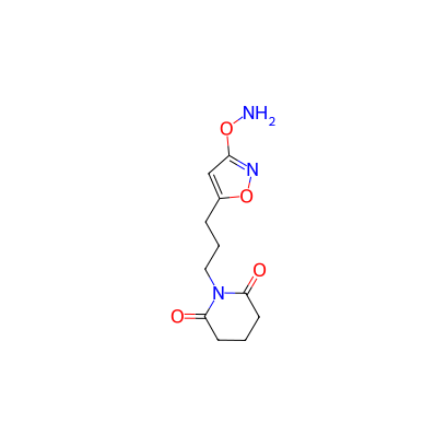 NOc1cc(CCCN2C(=O)CCCC2=O)on1